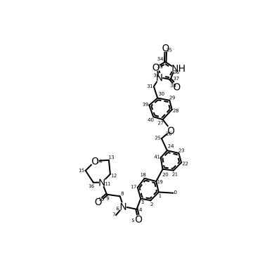 Cc1cc(C(=O)N(C)CC(=O)N2CCOCC2)ccc1-c1cccc(COc2ccc(Cn3oc(=O)[nH]c3=O)cc2)c1